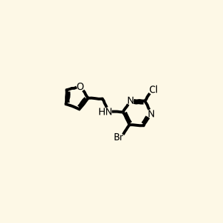 Clc1ncc(Br)c(NCc2ccco2)n1